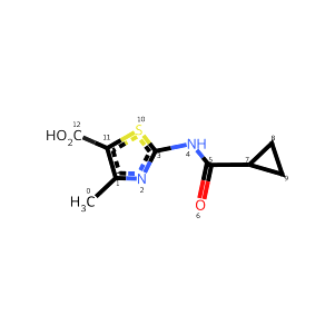 Cc1nc(NC(=O)C2CC2)sc1C(=O)O